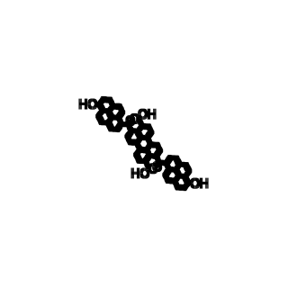 O=C(O)c1ccc2c3ccc(C(=O)c4ccc5ccc6c(O)ccc7ccc4c5c76)c4c(C(=O)O)ccc(c5ccc(C(=O)c6ccc7ccc8c(O)ccc9ccc6c7c98)c1c25)c43